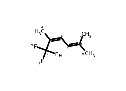 CC(C)=CC=C(C)C(F)(F)F